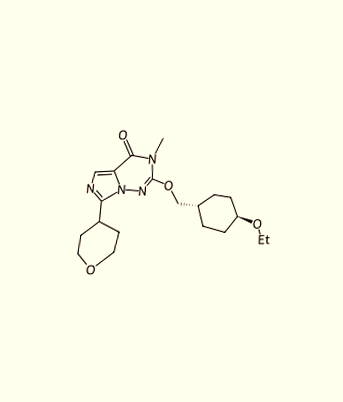 CCO[C@H]1CC[C@H](COc2nn3c(C4CCOCC4)ncc3c(=O)n2C)CC1